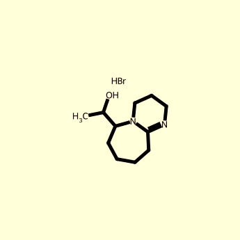 Br.CC(O)C1CCCCC2=NCCCN21